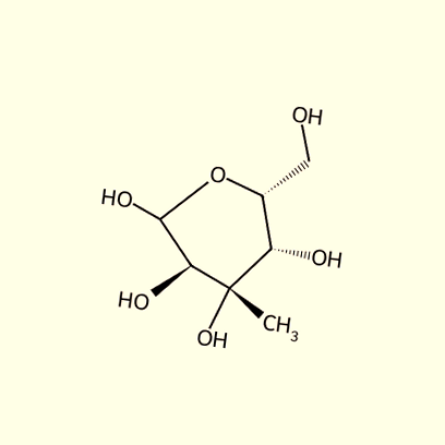 C[C@@]1(O)[C@@H](O)C(O)O[C@H](CO)[C@@H]1O